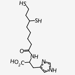 O=C(CCCCC(S)CCS)NC(Cc1c[nH]cn1)C(=O)O